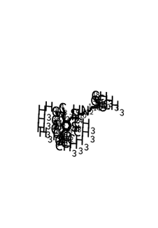 CCN(CC)c1c(CC[SiH2]CNCCC[Si](C)(OC)OC)c([SiH](C)C)cc(C(C)[Si](C)(OC)OC)c1[SiH](C)C